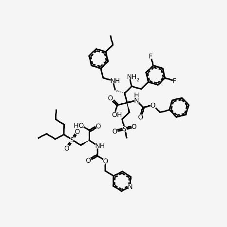 CCCC(CCC)S(=O)(=O)C[C@H](NC(=O)OCc1ccncc1)C(=O)O.CCc1cccc(CNC[C@H](C(N)Cc2cc(F)cc(F)c2)[C@](CCS(C)(=O)=O)(NC(=O)OCc2ccccc2)C(=O)O)c1